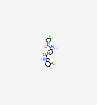 O=C(c1cc2c(Cl)c(F)ccc2[nH]1)N1CCc2[nH]nc(C(=O)N3CCC(F)(F)C3)c2C1